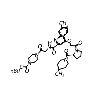 CCCCOC(=O)N1CCN(C(=O)CNC(=O)c2cc(OCC(=O)N3CCC[C@H]3C(=O)N3CCC(C)CC3)c3ccc(C)cc3n2)CC1